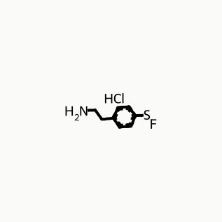 Cl.NCCc1ccc(SF)cc1